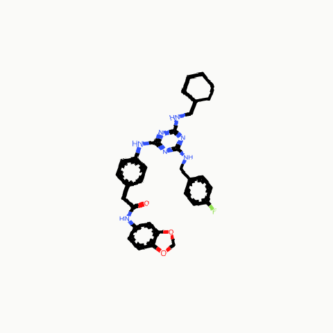 O=C(Cc1ccc(Nc2nc(NCc3ccc(F)cc3)nc(NCC3CCCCC3)n2)cc1)Nc1ccc2c(c1)OCO2